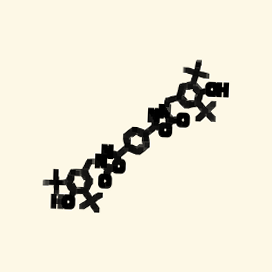 CC(C)(C)c1cc(Cn2nc(-c3ccc(-c4nn(Cc5cc(C(C)(C)C)c(O)c(C(C)(C)C)c5)c(=O)o4)cc3)oc2=O)cc(C(C)(C)C)c1O